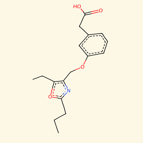 CCCc1nc(COc2cccc(CC(=O)O)c2)c(CC)o1